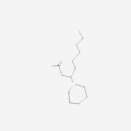 CCCCCCCCCCCCCCCC(CC(=O)OC)N1CCCCC1